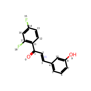 O=C(/C=C/c1cccc(O)c1)c1ccc(F)cc1F